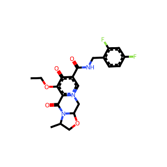 CCOc1c2n(cc(C(=O)NCc3ccc(F)cc3F)c1=O)CC1OCC(C)N1C2=O